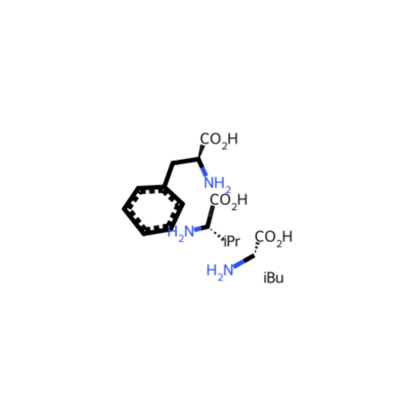 CC(C)[C@H](N)C(=O)O.CC[C@H](C)[C@H](N)C(=O)O.N[C@@H](Cc1ccccc1)C(=O)O